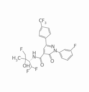 CC(O)(CF)[C@H](NC(=O)c1cc(-c2ccc(C(F)(F)F)cc2)nn(-c2cccc(F)c2)c1=O)C(F)F